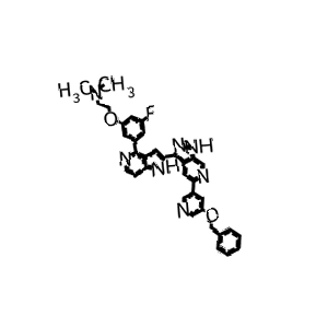 CN(C)CCOc1cc(F)cc(-c2nccc3[nH]c(-c4n[nH]c5cnc(-c6cncc(OCc7ccccc7)c6)cc45)cc23)c1